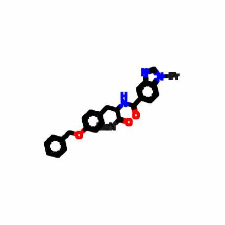 CNC(=O)C(Cc1ccc(OCc2ccccc2)cc1)NC(=O)c1ccc2c(c1)ncn2C(C)C